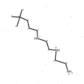 CC(C)(C)CCCNCCNCCN